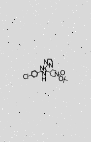 CC(C)(C)OC(=O)N1CCC(c2[nH]c(-c3ccc(Cl)cc3)nc2-c2ncccn2)CC1